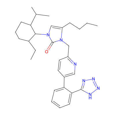 CCCCc1cn(C2C(CC)CCCC2C(C)C)c(=O)n1Cc1ccc(-c2ccccc2-c2nnn[nH]2)cn1